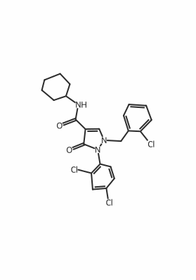 O=C(NC1CCCCC1)c1cn(Cc2ccccc2Cl)n(-c2ccc(Cl)cc2Cl)c1=O